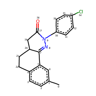 Cc1ccc2c(c1)C1=NN(c3ccc(Cl)cc3)C(=O)CC1CC2